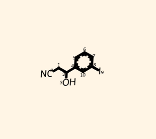 N#CCC(O)c1cccc(I)c1